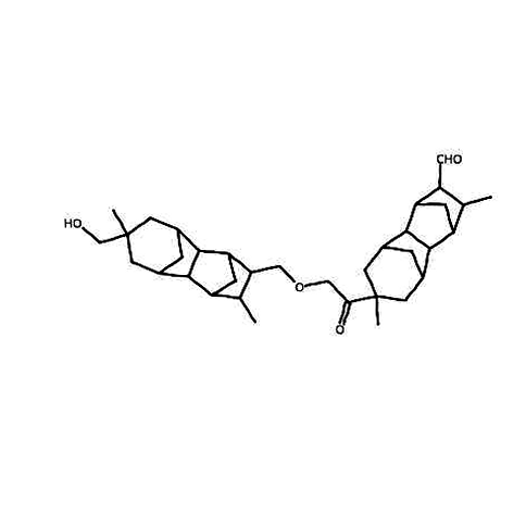 CC1C(C=O)C2CC1C1C3CC(CC(C)(C(=O)COCC4C(C)C5CC4C4C6CC(CC(C)(CO)C6)C54)C3)C21